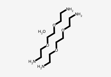 NCCOCCOCCN.NCCOCCOCCN.O